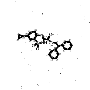 O=C(NCC(c1ccccc1)c1ccccc1)C1=Nc2ccc(C3CC3)cc2S(=O)(=O)N1